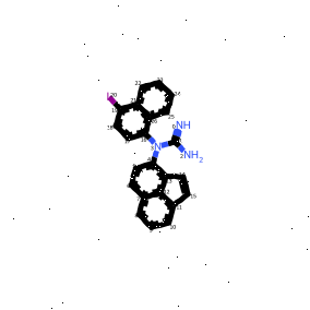 N=C(N)N(c1ccc2cccc3c2c1C=C3)c1ccc(I)c2ccccc12